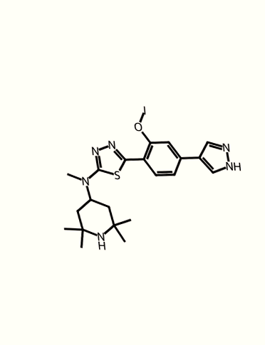 CN(c1nnc(-c2ccc(-c3cn[nH]c3)cc2OI)s1)C1CC(C)(C)NC(C)(C)C1